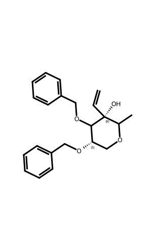 C=C[C@@]1(O)C(C)OC[C@H](OCc2ccccc2)C1OCc1ccccc1